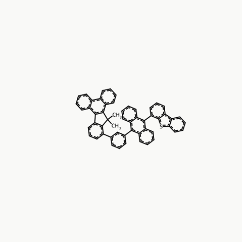 CC1(C)c2c(-c3cccc(-c4c5ccccc5c(-c5cccc6c5sc5ccccc56)c5ccccc45)c3)cccc2-c2c1c1ccccc1c1ccccc21